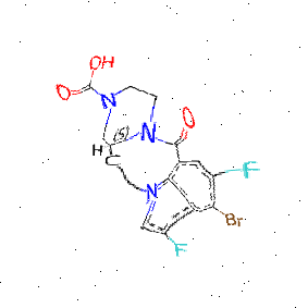 O=C(O)N1CCN2C(=O)c3cc(F)c(Br)c4c(F)cn(c34)CC[C@H]2C1